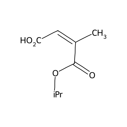 CC(=CC(=O)O)C(=O)OC(C)C